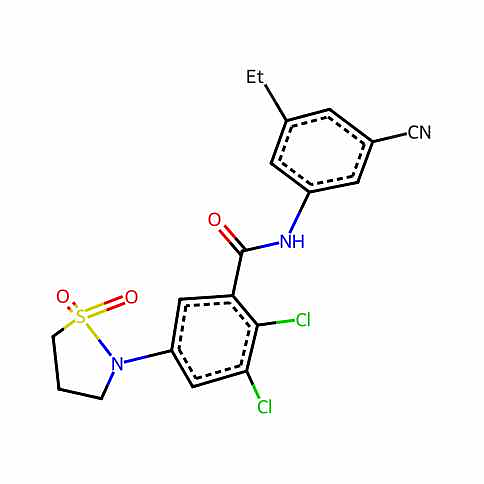 CCc1cc(C#N)cc(NC(=O)c2cc(N3CCCS3(=O)=O)cc(Cl)c2Cl)c1